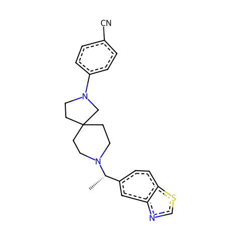 C[C@@H](c1ccc2scnc2c1)N1CCC2(CCN(c3ccc(C#N)cc3)C2)CC1